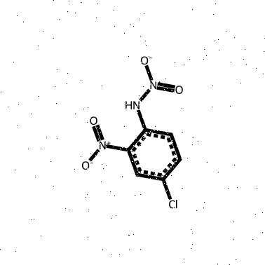 O=[N+]([O-])Nc1ccc(Cl)cc1[N+](=O)[O-]